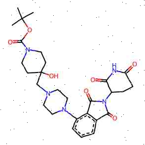 CC(C)(C)OC(=O)N1CCC(O)(CN2CCN(c3cccc4c3C(=O)N(C3CCC(=O)NC3=O)C4=O)CC2)CC1